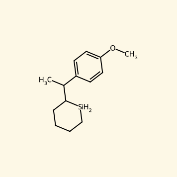 COc1ccc(C(C)C2CCCC[SiH2]2)cc1